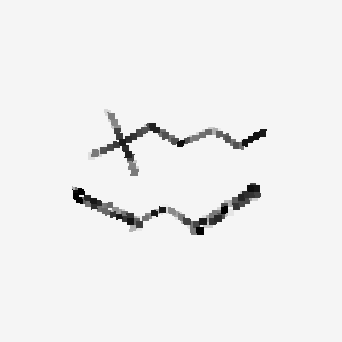 CCCCCC(C)(C)C.O=C=NCN=C=O